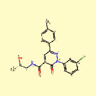 O=C(NC[C@@H](O)C(F)(F)F)c1cc(-c2ccc(C(F)(F)F)cc2)nn(-c2cccc(F)c2)c1=O